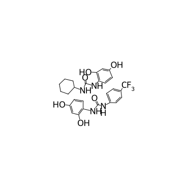 O=C(Nc1ccc(C(F)(F)F)cc1)Nc1ccc(O)cc1O.O=C(Nc1ccc(O)cc1O)NC1CCCCC1